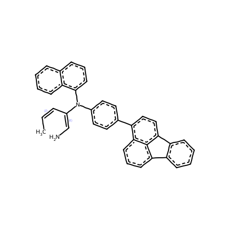 C/C=C\C(=C/N)N(c1ccc(-c2ccc3c4c(cccc24)-c2ccccc2-3)cc1)c1cccc2ccccc12